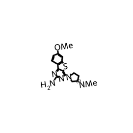 CN[C@H]1CCN(c2nc(N)nc3c2sc2cc(OC)ccc23)C1